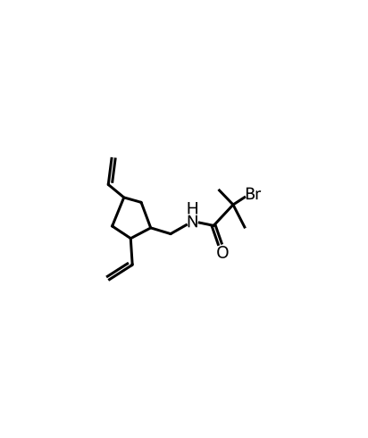 C=CC1CC(C=C)C(CNC(=O)C(C)(C)Br)C1